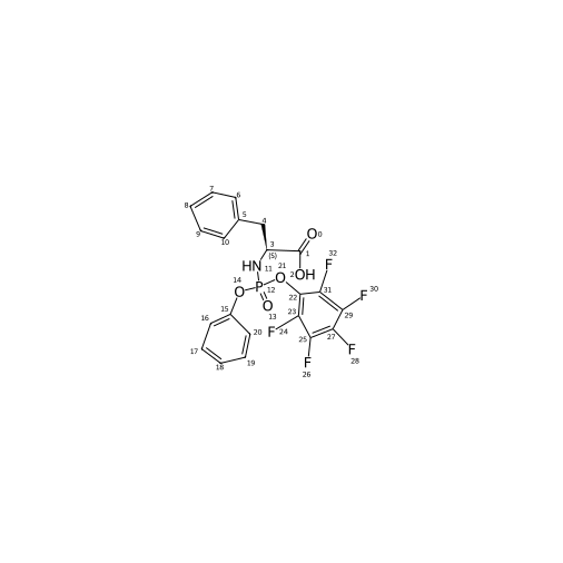 O=C(O)[C@H](Cc1ccccc1)NP(=O)(Oc1ccccc1)Oc1c(F)c(F)c(F)c(F)c1F